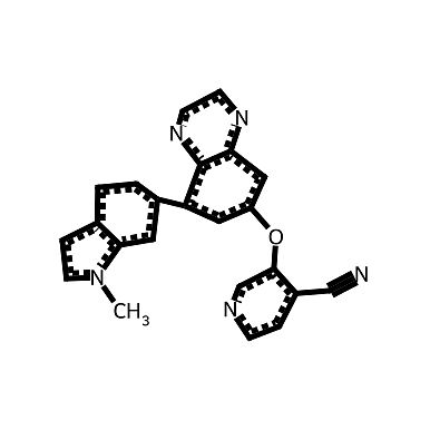 Cn1ccc2ccc(-c3cc(Oc4cnccc4C#N)cc4nccnc34)cc21